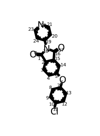 O=C1c2ccc(Oc3ccc(Cl)cc3)cc2C(=O)N1c1ccncc1